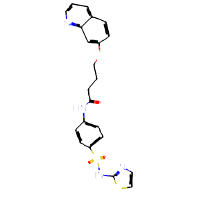 O=C(CCCOc1ccc2cccnc2c1)Nc1ccc(S(=O)(=O)Nc2nccs2)cc1